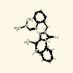 CN(C)/C=N\c1ccccc1Cn1nc2c(N)nc3ccccc3n2c1=O